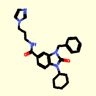 O=C(NCCCn1ccnc1)c1ccc2c(c1)n(Cc1ccccc1)c(=O)n2C1CCCCC1